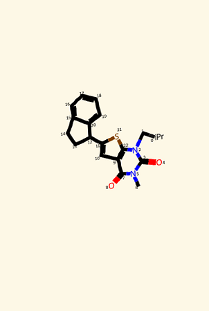 CC(C)Cn1c(=O)n(C)c(=O)c2cc(C3CCc4ccccc43)sc21